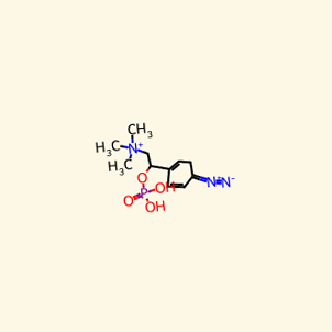 C[N+](C)(C)CC(OP(=O)(O)O)C1=CCC(=[N+]=[N-])C=C1